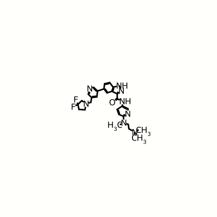 CN(C)CCN(C)c1ccc(NC(=O)c2n[nH]c3ccc(-c4cncc(CN5CCC(F)(F)C5)c4)cc23)cn1